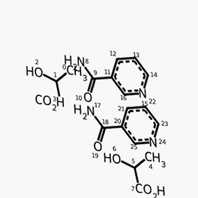 CC(O)C(=O)O.CC(O)C(=O)O.NC(=O)c1cccnc1.NC(=O)c1cccnc1